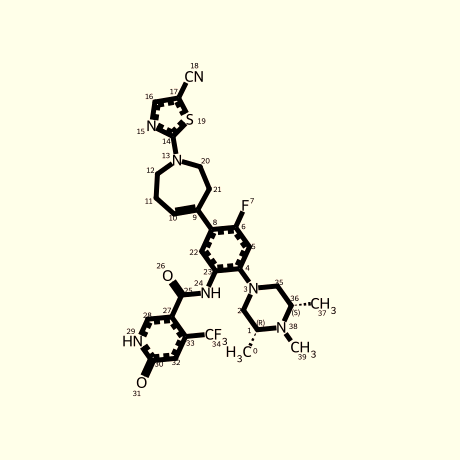 C[C@@H]1CN(c2cc(F)c(C3=CCCN(c4ncc(C#N)s4)CC3)cc2NC(=O)c2c[nH]c(=O)cc2C(F)(F)F)C[C@H](C)N1C